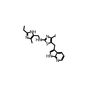 CCc1nc(C)c(CNc2nc(I)c(Cc3c[nH]c4ncccc34)s2)[nH]1